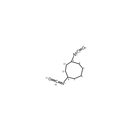 O=C=NC1CCCCC(N=C=O)CC1